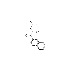 CC(C)CC(Br)C(=O)c1ccc2ccccc2c1